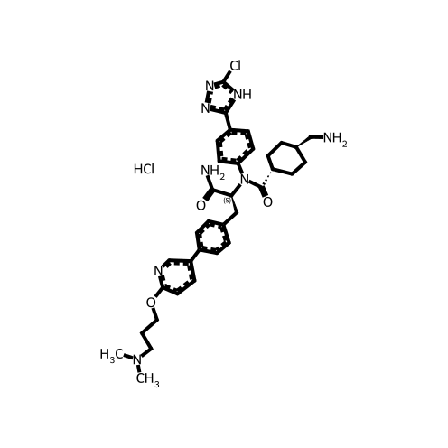 CN(C)CCCOc1ccc(-c2ccc(C[C@@H](C(N)=O)N(c3ccc(-c4nnc(Cl)[nH]4)cc3)C(=O)[C@H]3CC[C@H](CN)CC3)cc2)cn1.Cl